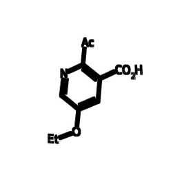 CCOc1cnc(C(C)=O)c(C(=O)O)c1